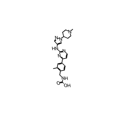 Cc1cc(-c2ccnc(Nc3cnn(C4CCN(C)CC4)c3)n2)ccc1CNC(=O)O